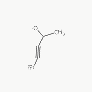 CC(C)C#CC(C)[O]